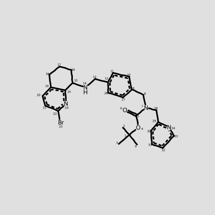 CC(C)(C)OC(=O)N(Cc1ccc(CNC2CCCc3ccc(Br)nc32)cc1)Cc1ccccn1